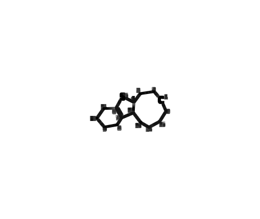 C1CCCC2SC3=C(CCCC3)C2CCC1